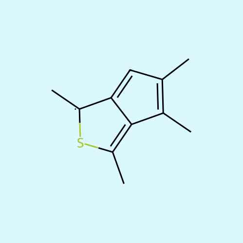 C[C]1SC(C)=C2C1=CC(C)=C2C